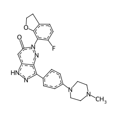 CN1CCN(c2ccc(-c3n[nH]c4cc(=O)n(-c5c(F)ccc6c5OCC6)nc34)cc2)CC1